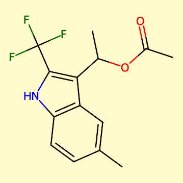 CC(=O)OC(C)c1c(C(F)(F)F)[nH]c2ccc(C)cc12